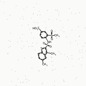 Cc1ccc2sc(S(=O)(=O)Nc3ccc(C(=O)O)cc3S(C)(=O)=O)c(C)c2c1